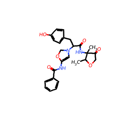 CC1OCC(=O)C1(C)NC(=O)C(Cc1ccc(O)cc1)N1C=C(NC(=O)c2ccccc2)OC1